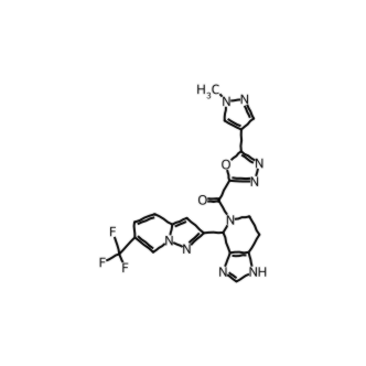 Cn1cc(-c2nnc(C(=O)N3CCc4[nH]cnc4C3c3cc4ccc(C(F)(F)F)cn4n3)o2)cn1